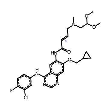 COC(CN(C)C/C=C/C(=O)Nc1cc2c(Nc3ccc(F)c(Cl)c3)ncnc2cc1OCC1CC1)OC